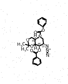 CC1(C)OC[C@@H]2[C@@H](O1)[C@H](OC(=O)c1ccccc1)[C@@H](N=[N+]=[N-])CN2C(=O)Oc1ccccc1